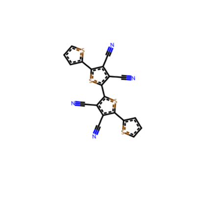 N#Cc1c(-c2cccs2)sc(-c2sc(-c3cccs3)c(C#N)c2C#N)c1C#N